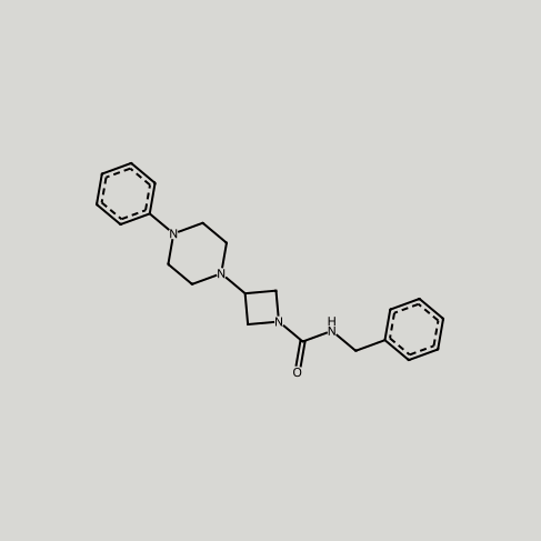 O=C(NCc1ccccc1)N1CC(N2CCN(c3ccccc3)CC2)C1